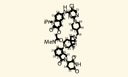 CNC(=O)COc1cc2cc(Nc3nc(N4CCC(CN5CC6(CCN(c7cccc8c7CN([C@@H]7CCC(=O)NC7=O)C8=O)CC6(F)F)C5)CC4)ncc3Cl)ccc2n(C(C)C)c1=O